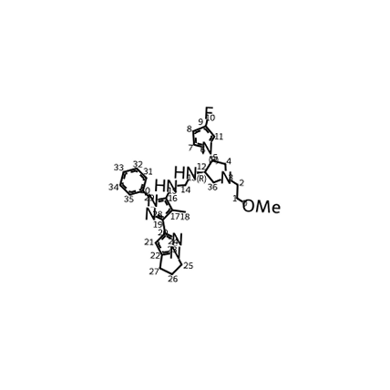 COCCN1C[C@@H](n2ccc(F)c2)[C@H](NCNc2c(C)c(-c3cc4n(n3)CCC4)nn2-c2ccccc2)C1